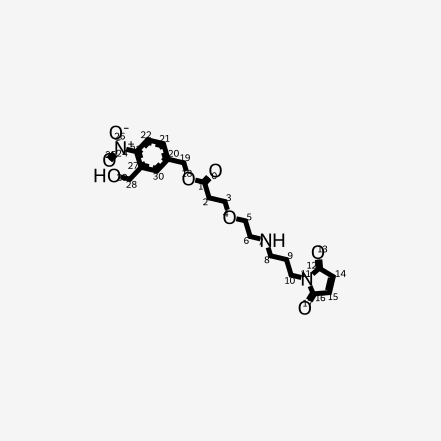 O=C(CCOCCNCCCN1C(=O)C=CC1=O)OCc1ccc([N+](=O)[O-])c(CO)c1